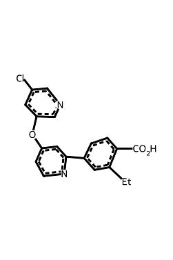 CCc1cc(-c2cc(Oc3cncc(Cl)c3)ccn2)ccc1C(=O)O